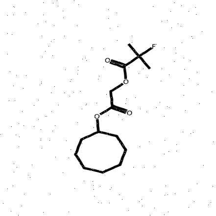 CC(C)(F)C(=O)OCC(=O)OC1CCCCCCC1